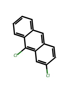 Clc1[c]cc2cc3cc[c]cc3c(Cl)c2c1